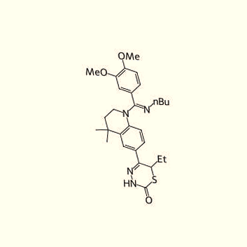 CCCCN=C(c1ccc(OC)c(OC)c1)N1CCC(C)(C)c2cc(C3=NNC(=O)SC3CC)ccc21